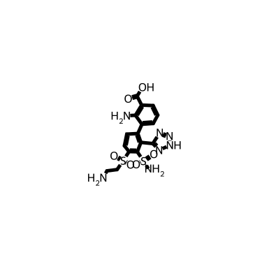 NCCS(=O)(=O)c1ccc(-c2cccc(C(=O)O)c2N)c(-c2nn[nH]n2)c1S(N)(=O)=O